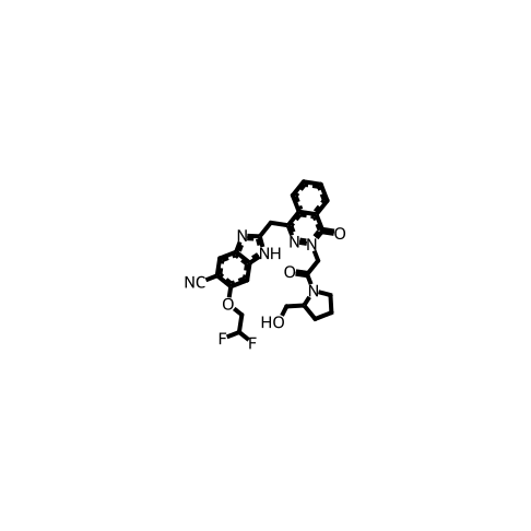 N#Cc1cc2nc(Cc3nn(CC(=O)N4CCCC4CO)c(=O)c4ccccc34)[nH]c2cc1OCC(F)F